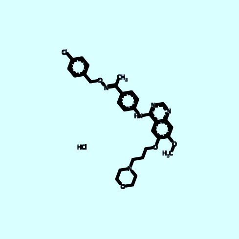 COc1cc2ncnc(Nc3ccc(C(C)=NOCc4ccc(Cl)cc4)cc3)c2cc1OCCCN1CCOCC1.Cl